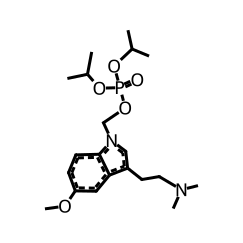 COc1ccc2c(c1)c(CCN(C)C)cn2COP(=O)(OC(C)C)OC(C)C